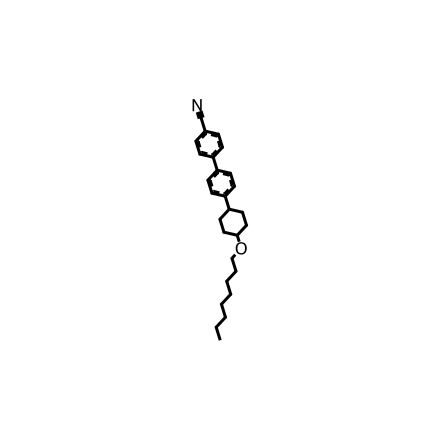 CCCCCCCCOC1CCC(c2ccc(-c3ccc(C#N)cc3)cc2)CC1